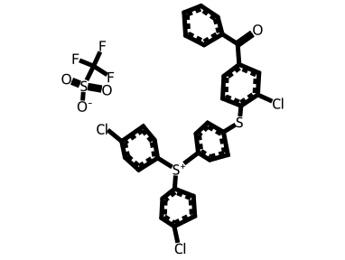 O=C(c1ccccc1)c1ccc(Sc2ccc([S+](c3ccc(Cl)cc3)c3ccc(Cl)cc3)cc2)c(Cl)c1.O=S(=O)([O-])C(F)(F)F